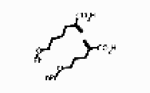 C=C(CCCCOCC)C(=O)O.C=C(CCCOCCC)C(=O)O